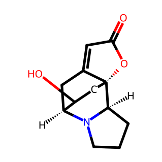 O=C1C=C2C[C@H]3C(O)C[C@]2(O1)[C@H]1CCCN31